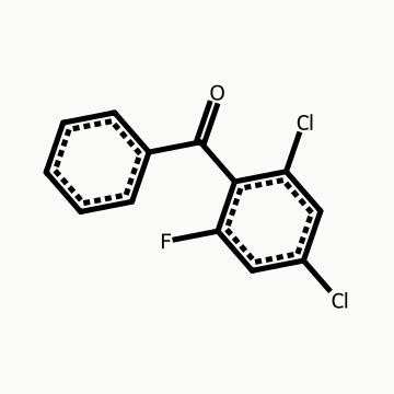 O=C(c1ccccc1)c1c(F)cc(Cl)cc1Cl